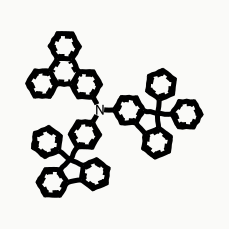 c1ccc(C2(c3ccc(N(c4ccc5c(c4)-c4ccccc4C5(c4ccccc4)c4ccccc4)c4ccc5c6ccccc6c6ccccc6c5c4)cc3)c3ccccc3-c3ccccc32)cc1